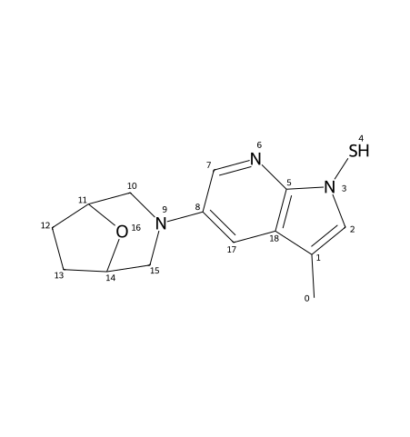 Cc1cn(S)c2ncc(N3CC4CCC(C3)O4)cc12